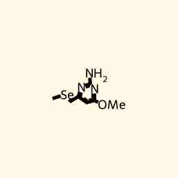 COc1cc(C[Se]C)nc(N)n1